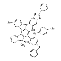 CC(C)(C)c1ccc(Nc2cc3sc4ccccc4c3cc2-c2c3c(c4c5cc(C(C)(C)C)ccc5n5c4c2Bc2cc4nc(-c6ccccc6)oc4cc2-5)-c2ccccc2C3(C)C)cc1